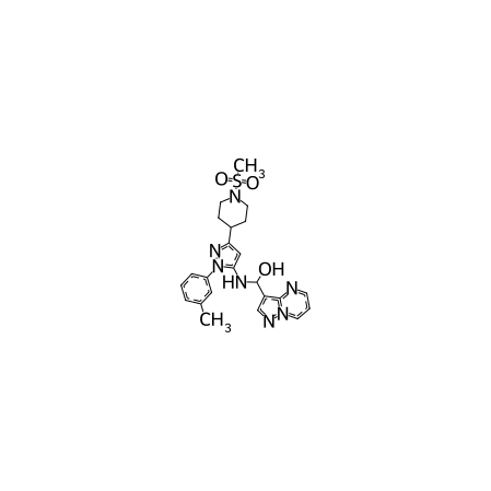 Cc1cccc(-n2nc(C3CCN(S(C)(=O)=O)CC3)cc2NC(O)c2cnn3cccnc23)c1